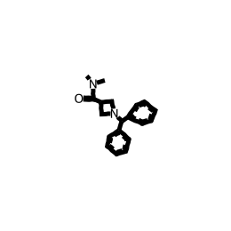 CN(C)C(=O)C1CN(C(c2ccccc2)c2ccccc2)C1